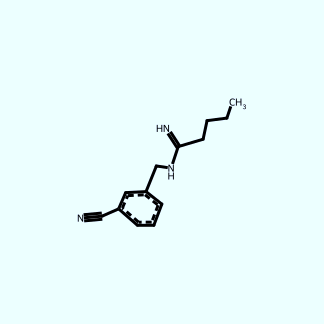 CCCCC(=N)NCc1cccc(C#N)c1